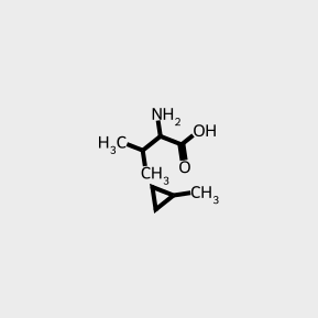 CC(C)C(N)C(=O)O.CC1CC1